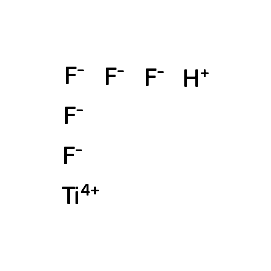 [F-].[F-].[F-].[F-].[F-].[H+].[Ti+4]